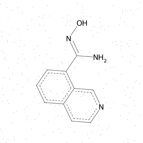 N/C(=N\O)c1cccc2ccncc12